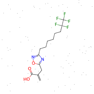 C=C(Cc1nc(CCCCCCC(F)(F)C(F)(F)F)no1)C(=O)O